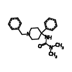 CN(C)C(=O)NC1(c2ccccc2)CCN(Cc2ccccc2)CC1